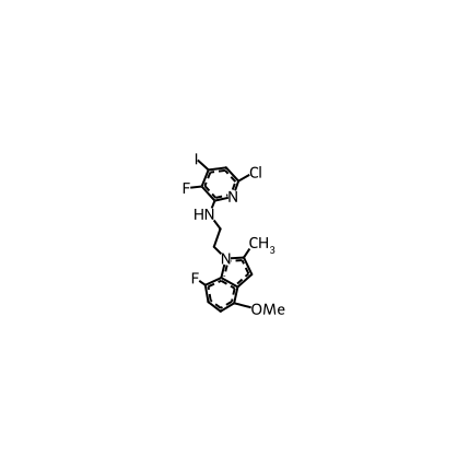 COc1ccc(F)c2c1cc(C)n2CCNc1nc(Cl)cc(I)c1F